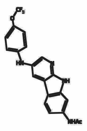 CC(=O)Nc1ccc2c(c1)[nH]c1ncc(Nc3ccc(OC(F)(F)F)cc3)cc12